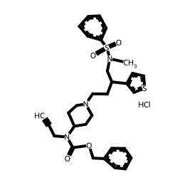 C#CCN(C(=O)OCc1ccccc1)C1CCN(CCC(CN(C)S(=O)(=O)c2ccccc2)c2ccsc2)CC1.Cl